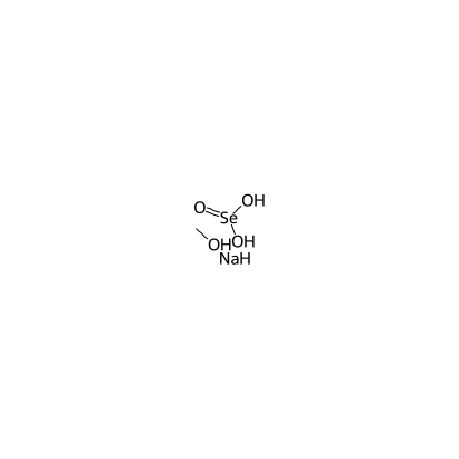 CO.O=[Se](O)O.[NaH]